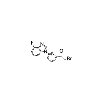 O=C(CBr)c1cccc(-n2cnc3c(F)cccc32)n1